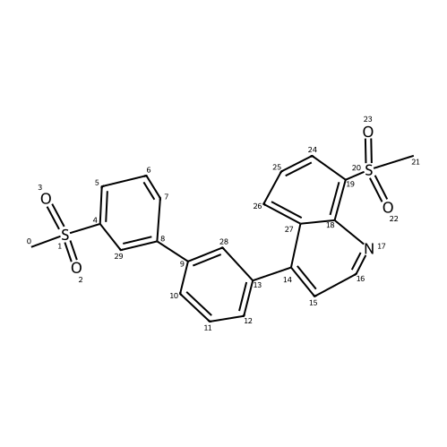 CS(=O)(=O)c1cccc(-c2cccc(-c3ccnc4c(S(C)(=O)=O)cccc34)c2)c1